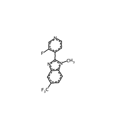 Cn1c(-c2ccncc2F)nc2cc(C(F)(F)F)ccc21